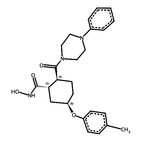 Cc1ccc(O[C@@H]2CC[C@H](C(=O)N3CCN(c4ccccc4)CC3)[C@@H](C(=O)NO)C2)cc1